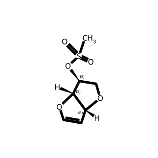 CS(=O)(=O)O[C@H]1CO[C@@H]2C=CO[C@H]12